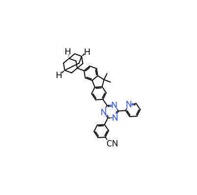 CC1(C)c2ccc(C34C[C@H]5C[C@@H](C3)C[C@@H](C4)C5)cc2-c2ccc(-c3nc(-c4cccc(C#N)c4)nc(-c4ccccn4)n3)cc21